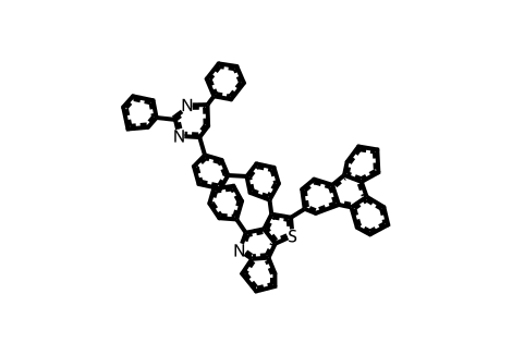 c1ccc(-c2cc(-c3cccc(-c4cccc(-c5c(-c6ccc7c8ccccc8c8ccccc8c7c6)sc6c5c(-c5ccccc5)nc5ccccc56)c4)c3)nc(-c3ccccc3)n2)cc1